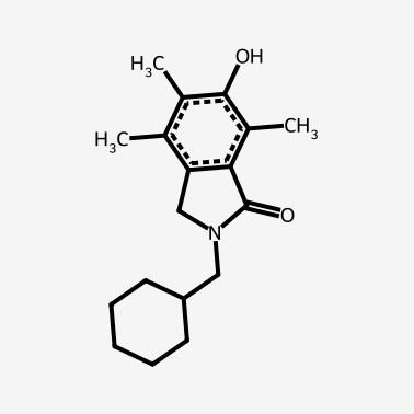 Cc1c(C)c2c(c(C)c1O)C(=O)N(CC1CCCCC1)C2